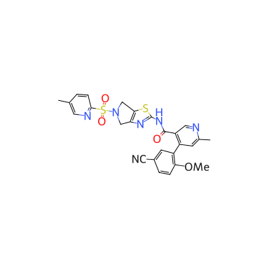 COc1ccc(C#N)cc1-c1cc(C)ncc1C(=O)Nc1nc2c(s1)CN(S(=O)(=O)c1ccc(C)cn1)C2